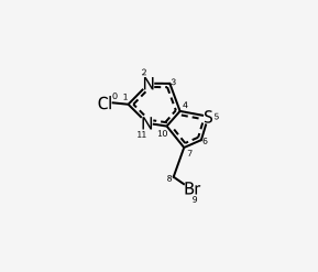 Clc1ncc2scc(CBr)c2n1